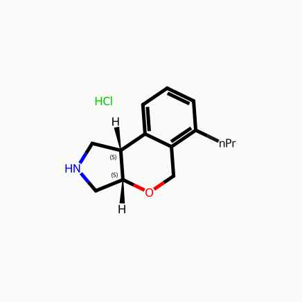 CCCc1cccc2c1CO[C@@H]1CNC[C@H]21.Cl